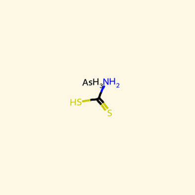 NC(=S)S.[AsH3]